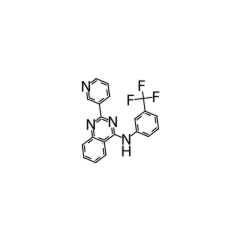 FC(F)(F)c1cccc(Nc2nc(-c3cccnc3)nc3ccccc23)c1